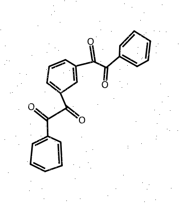 O=C(C(=O)c1cccc(C(=O)C(=O)c2ccccc2)c1)c1ccccc1